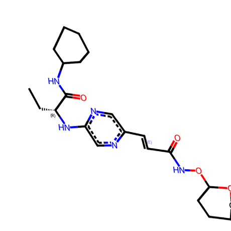 CC[C@@H](Nc1cnc(/C=C/C(=O)NOC2CCCCO2)cn1)C(=O)NC1CCCCC1